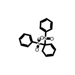 O=S(=O)(c1ccccc1)C1(S(=O)(=O)c2ccccc2)C=CC=CC1